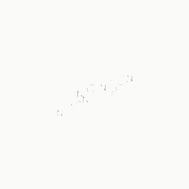 CN(/C=C(\C=C/C=O)c1cc(C#N)ccc1F)Cc1cccc(-c2ncc(OCC3CCN(C)CC3)cn2)c1